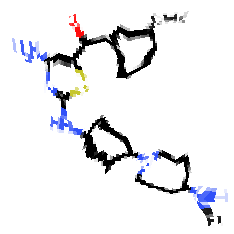 CCNC1CCN(C2C=CC(Nc3nc(N)c(C(=O)c4cccc(OC)c4)s3)=CC2)CC1